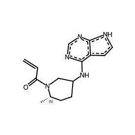 C=CC(=O)N1CC(Nc2ncnc3[nH]ccc23)CC[C@@H]1C